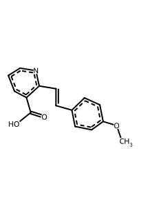 COc1ccc(/C=C/c2ncccc2C(=O)O)cc1